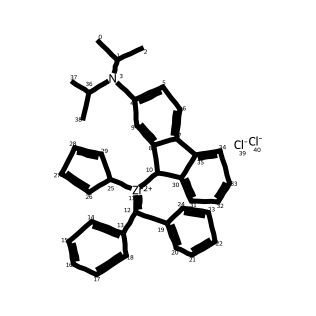 CC(C)N(c1ccc2c(c1)[CH]([Zr+2](=[C](c1ccccc1)c1ccccc1)[CH]1C=CC=C1)c1ccccc1-2)C(C)C.[Cl-].[Cl-]